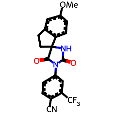 COc1ccc2c(c1)CCC21NC(=O)N(c2ccc(C#N)c(C(F)(F)F)c2)C1=O